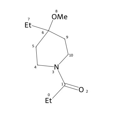 CCC(=O)N1CCC(CC)(OC)CC1